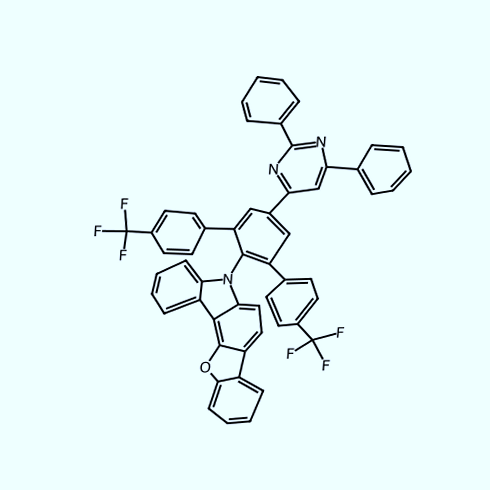 FC(F)(F)c1ccc(-c2cc(-c3cc(-c4ccccc4)nc(-c4ccccc4)n3)cc(-c3ccc(C(F)(F)F)cc3)c2-n2c3ccccc3c3c4oc5ccccc5c4ccc32)cc1